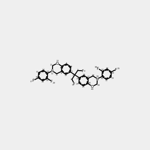 FCC(CF)(c1ccc2c(c1)CN(c1ccc(F)cc1F)CO2)c1ccc2c(c1)CN(c1ccc(F)cc1F)CO2